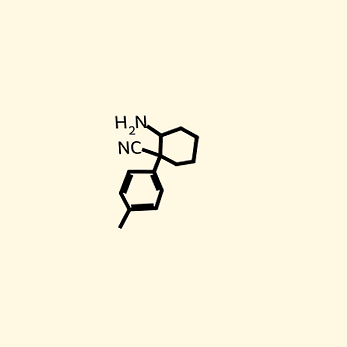 Cc1ccc(C2(C#N)CCCCC2N)cc1